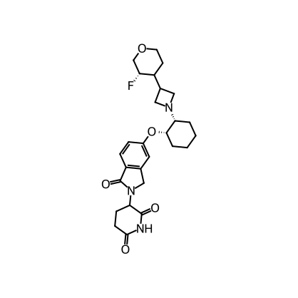 O=C1CCC(N2Cc3cc(O[C@H]4CCCC[C@H]4N4CC(C5CCOC[C@H]5F)C4)ccc3C2=O)C(=O)N1